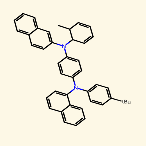 CC1C=CC=CC1N(c1ccc(N(c2ccc(C(C)(C)C)cc2)c2cccc3ccccc23)cc1)c1ccc2ccccc2c1